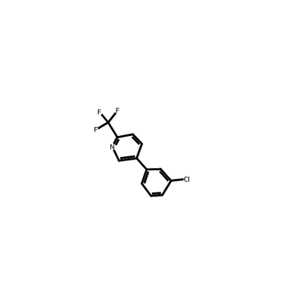 FC(F)(F)c1ccc(-c2cccc(Cl)c2)cn1